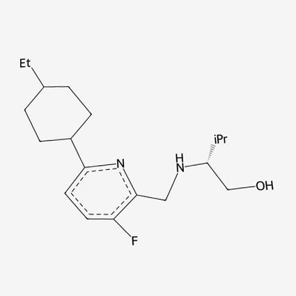 CCC1CCC(c2ccc(F)c(CN[C@@H](CO)C(C)C)n2)CC1